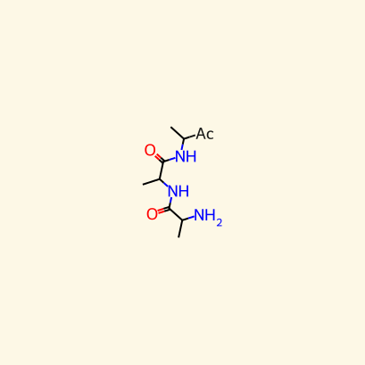 CC(=O)C(C)NC(=O)C(C)NC(=O)C(C)N